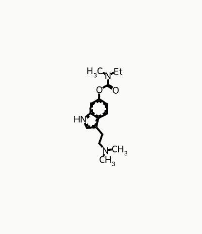 CCN(C)C(=O)Oc1ccc2c(CCN(C)C)c[nH]c2c1